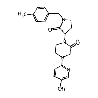 Cc1ccc(CN2CCC(N3CCN(c4ccc(O)cn4)CC3=O)C2=O)cc1